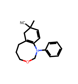 CC1(C#N)C=CC2=C(CCCOCN2c2ccccc2)C1